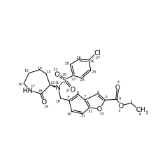 CCOC(=O)c1cc2cc(CN([C@@H]3CCCCNC3=O)S(=O)(=O)c3ccc(Cl)cc3)ccc2o1